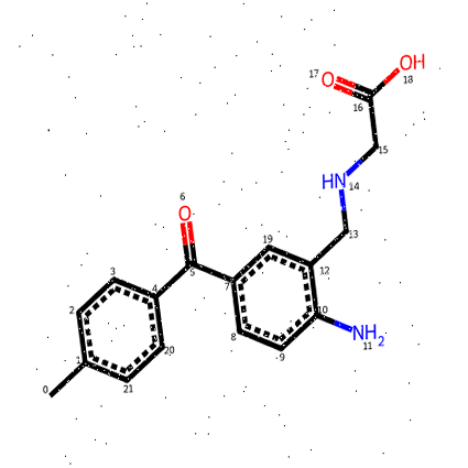 Cc1ccc(C(=O)c2ccc(N)c(CNCC(=O)O)c2)cc1